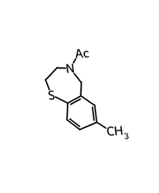 CC(=O)N1CCSc2ccc(C)cc2C1